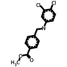 COC(=O)c1ccc(C[N]c2ccc(Cl)c(Cl)c2)cc1